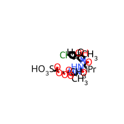 CC(C)C(NC(=O)NCC(C)(C)OC(=O)OCOC(=O)CS(=O)(=O)O)C(=O)N1CC[C@](O)(c2ccc(Cl)cc2)C(C)(C)C1